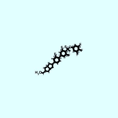 CCC1CC2CC(c3ccc(-c4cc(F)c(C(F)(F)Oc5cc(F)c(F)c(F)c5)c(F)c4)c(F)c3)CC2C1